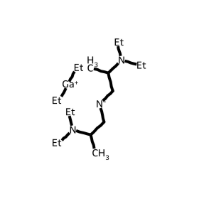 CCN(CC)C(C)C[N-]CC(C)N(CC)CC.C[CH2][Ga+][CH2]C